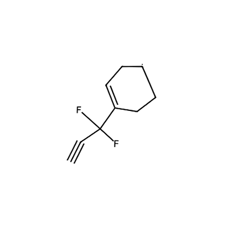 C#CC(F)(F)C1=CC[CH]CC1